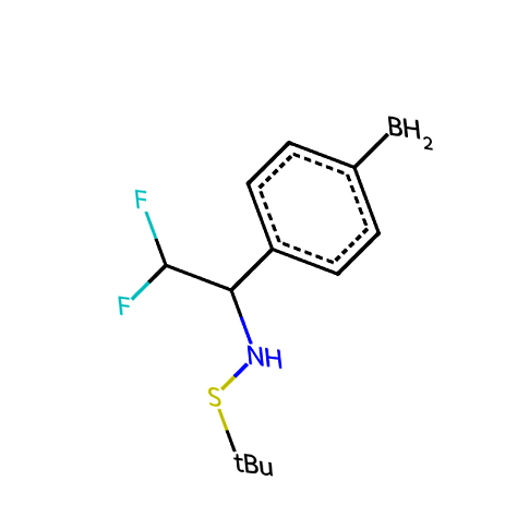 Bc1ccc(C(NSC(C)(C)C)C(F)F)cc1